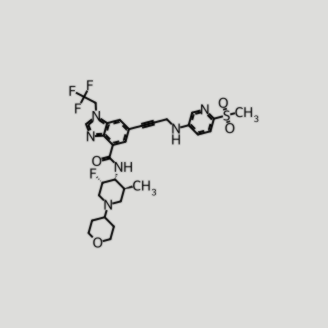 C[C@H]1CN(C2CCOCC2)C[C@H](F)[C@@H]1NC(=O)c1cc(C#CCNc2ccc(S(C)(=O)=O)nc2)cc2c1ncn2CC(F)(F)F